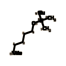 CNCCCCO[Si](C)(C)C(C)(C)C